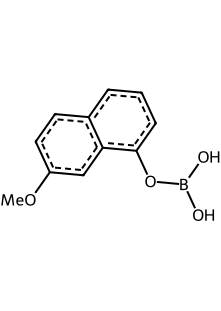 COc1ccc2cccc(OB(O)O)c2c1